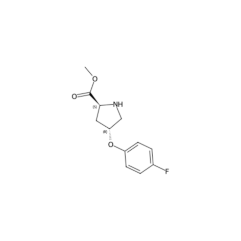 COC(=O)[C@@H]1C[C@@H](Oc2ccc(F)cc2)CN1